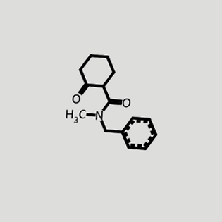 CN(Cc1ccccc1)C(=O)C1CCCCC1=O